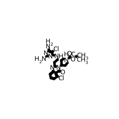 CC(C)(C)OC(=O)N1CCC(n2c(CCNc3nc(N)nc(N)c3Cl)nc3cccc(Cl)c3c2=O)CC1